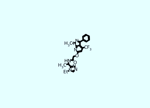 CCn1cnnc1C(C)NC(=O)COc1cc(C(F)(F)F)c2c(-c3ccccc3)nn(C)c2n1